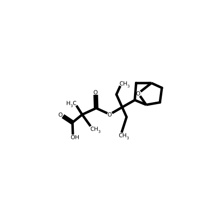 CCC(CC)(OC(=O)C(C)(C)C(=O)O)C1CC2CCC1O2